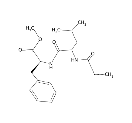 CCC(=O)NC(CC(C)C)C(=O)N[C@@H](Cc1ccccc1)C(=O)OC